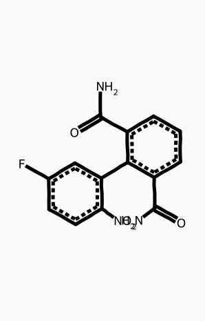 NC(=O)c1cccc(C(N)=O)c1-c1cc(F)ccc1[N+](=O)[O-]